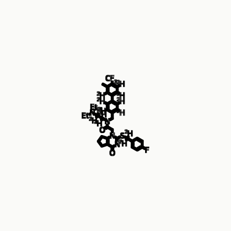 [2H]c1c([2H])c(-c2c([2H])c([2H])c(C(F)(F)F)c(C)c2[2H])c([2H])c([2H])c1CN(C(=O)Cn1c(SC([2H])([2H])c2ccc(F)cc2)nc(=O)c2c1CCC2)C([2H])([2H])C([2H])([2H])N(CC)CC